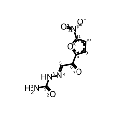 NC(=O)NN=CC(=O)c1ccc([N+](=O)[O-])o1